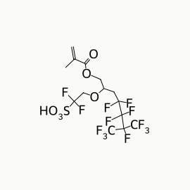 C=C(C)C(=O)OCC(CC(F)(F)C(F)(F)C(F)(C(F)(F)F)C(F)(F)F)OCC(F)(F)S(=O)(=O)O